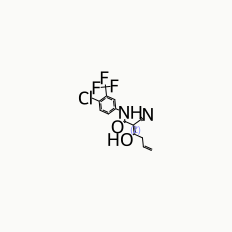 C=CC/C(O)=C(\C#N)C(=O)Nc1ccc(Cl)c(C(F)(F)F)c1